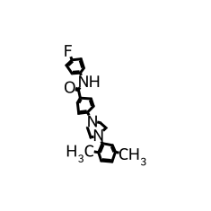 Cc1ccc(C)c(N2CCN(c3ccc(C(=O)Nc4ccc(F)cc4)cc3)CC2)c1